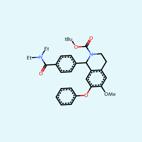 CCN(CC)C(=O)c1ccc(C2c3cc(Oc4ccccc4)c(OC)cc3CCN2C(=O)OC(C)(C)C)cc1